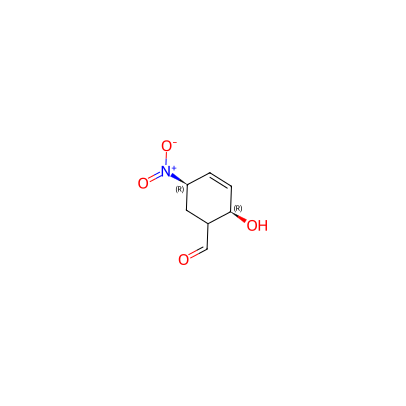 O=CC1C[C@@H]([N+](=O)[O-])C=C[C@H]1O